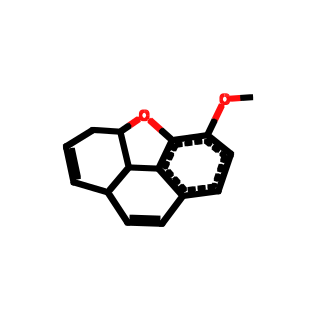 COc1ccc2c3c1OC1CC=CC(C=C2)C31